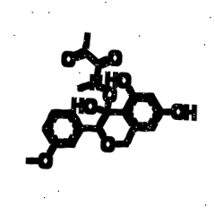 COc1cccc(C2OCc3cc(O)cc(O)c3C2(O)ON(C)C(=O)C(C)=O)c1